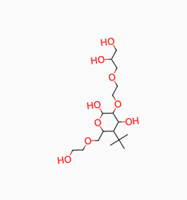 CC(C)(C)C1C(COCCO)OC(O)C(OCCOCC(O)CO)C1O